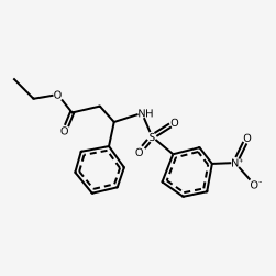 CCOC(=O)CC(NS(=O)(=O)c1cccc([N+](=O)[O-])c1)c1ccccc1